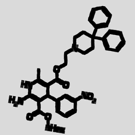 CCCCCCOC(=O)C1=C(N)NC(C)=C(C(=O)OCCN2CCC(c3ccccc3)(c3ccccc3)CC2)C1c1cccc([N+](=O)[O-])c1